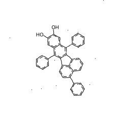 Oc1cc2c(-c3ccccc3)c3c(c(-c4ccccc4)c2cc1O)-c1ccc(-c2ccccc2)c2cccc-3c12